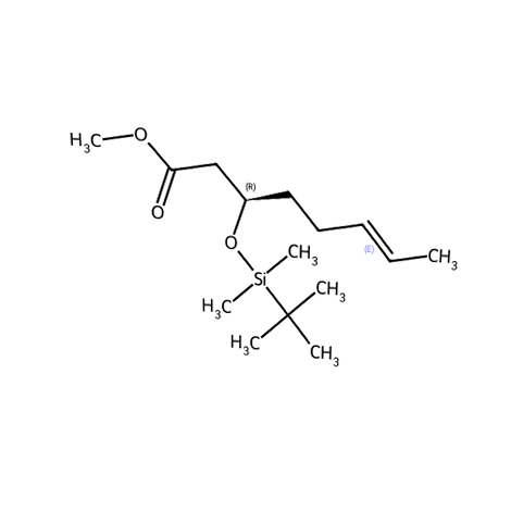 C/C=C/CC[C@H](CC(=O)OC)O[Si](C)(C)C(C)(C)C